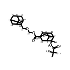 CC(F)(F)C(=O)OC1(C)C2CC3CC1CC(C(=O)OCOCC1C4CC5CC(C4)CC1C5)(C3)C2